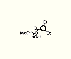 CCCCCCCCC(COC)OC(=O)c1cc(CC)cc(CC)c1